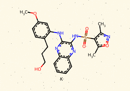 COc1ccc(CCCO)c(Nc2nc3ccccc3nc2NS(=O)(=O)c2c(C)noc2C)c1.[K]